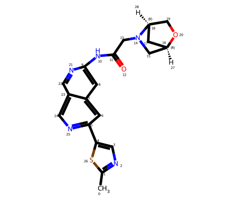 Cc1ncc(-c2cc3cc(NC(=O)CN4C[C@H]5C[C@@H]4CO5)ncc3cn2)s1